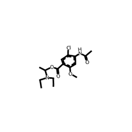 CCN(CC)C(C)OC(=O)c1cc(Cl)c(NC(C)=O)cc1OC